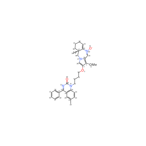 COc1c(OCCCCn2c(=O)nc(-c3ccccc3)c3cc(C)ccc32)cn2c1C=[N+]([O-])C1=CCCC[C@H]1C2